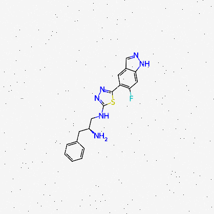 N[C@H](CNc1nnc(-c2cc3cn[nH]c3cc2F)s1)Cc1ccccc1